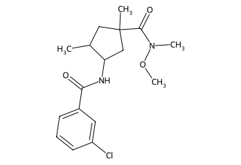 CON(C)C(=O)C1(C)CC(C)C(NC(=O)c2cccc(Cl)c2)C1